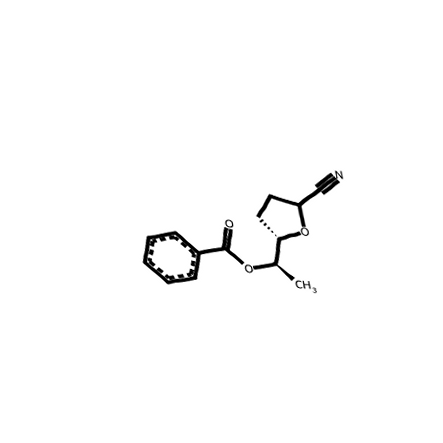 C[C@@H](OC(=O)c1ccccc1)[C@@H]1CCC(C#N)O1